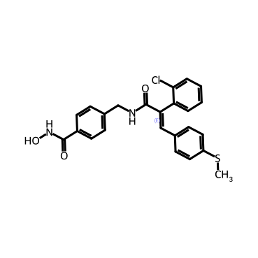 CSc1ccc(/C=C(/C(=O)NCc2ccc(C(=O)NO)cc2)c2ccccc2Cl)cc1